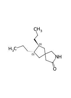 CCC[C@H]1CC2(CNC(=O)C2)C[C@@H]1CCC